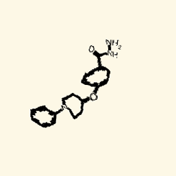 NNC(=O)c1ccc(OC2CCN(c3ccccc3)CC2)cc1